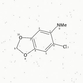 CNc1cc2c(cc1Cl)OCO2